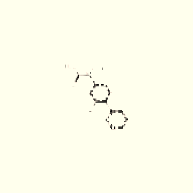 CC(=O)[C@@H](C)c1ccc(-c2ccccc2)c(F)c1